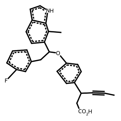 CC#CC(CC(=O)O)c1ccc(OC(Cc2cccc(F)c2)c2ccc3cc[nH]c3c2C)cc1